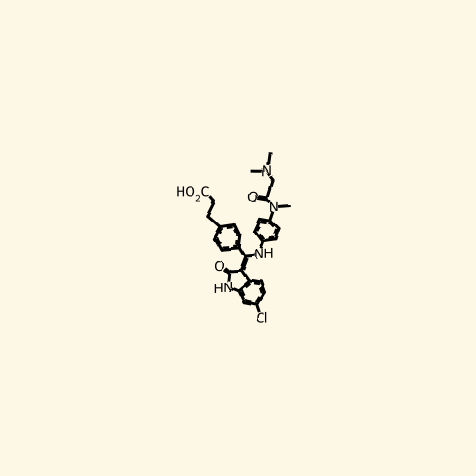 CN(C)CC(=O)N(C)c1ccc(NC(=C2C(=O)Nc3cc(Cl)ccc32)c2ccc(CCC(=O)O)cc2)cc1